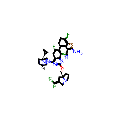 N#Cc1c(N)sc2c(F)ccc(-c3c(F)cc4c(N5C[C@@H]6CC[C@](C7CC7)(C5)N6)nc(OC[C@@]56CCCN5CC(=C(F)F)C6)nc4c3F)c12